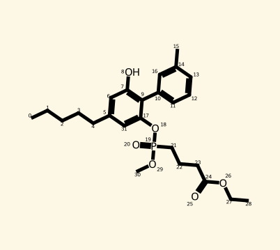 CCCCCc1cc(O)c(-c2cccc(C)c2)c(OP(=O)(CCCC(=O)OCC)OC)c1